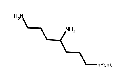 CCCCCCCCC(N)CCCN